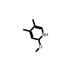 COC1C=C(C)C(C)=CN1